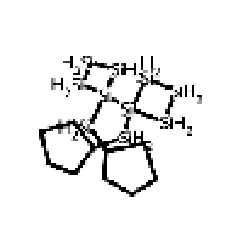 C1CCC([SiH2][Si]2([Si]3([SiH2]C4CCCC4)[SiH2][SiH2][SiH2]3)[SiH2][SiH2][SiH2]2)C1